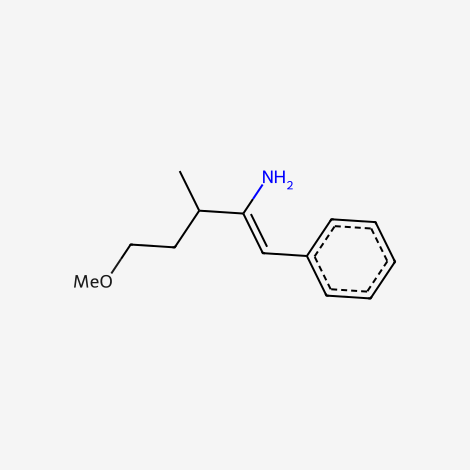 COCCC(C)C(N)=Cc1ccccc1